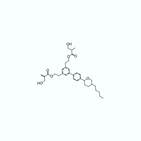 C=C(CO)C(=O)OCCc1cc(CCOC(=O)C(C)CO)cc(-c2ccc(C3CCC(CCCCC)CO3)cc2)c1